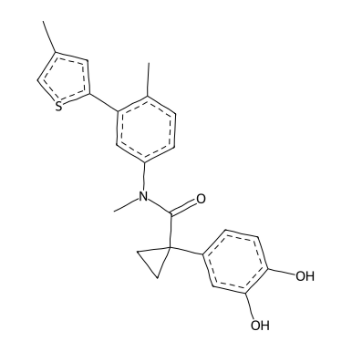 Cc1csc(-c2cc(N(C)C(=O)C3(c4ccc(O)c(O)c4)CC3)ccc2C)c1